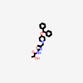 CC(O)C(=O)Nc1nc(CN2CCC(OC(c3ccccc3)c3ccccc3)CC2)cs1